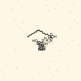 CCCCCCCC/C=C\CCCCCCCC(=O)C(N)(O)CN.O=C(O)CC(C(=O)O)S(=O)(=O)O.[NaH].[NaH].[NaH]